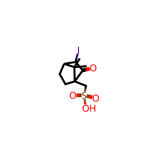 CC1(C)C2CCC1(CS(=O)(=O)O)C(=O)C2I